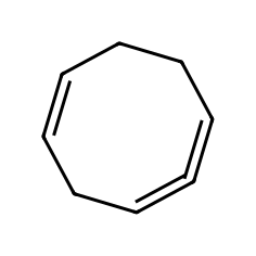 C1=CC/C=C\CCC=1